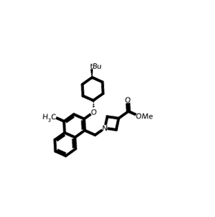 COC(=O)C1CN(Cc2c(O[C@H]3CC[C@H](C(C)(C)C)CC3)cc(C)c3ccccc23)C1